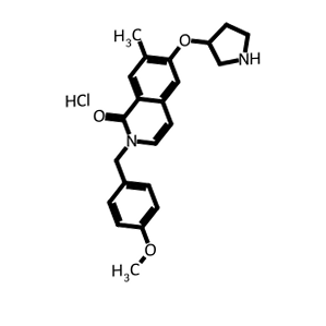 COc1ccc(Cn2ccc3cc(OC4CCNC4)c(C)cc3c2=O)cc1.Cl